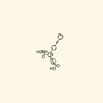 O=C(NO)c1cc(-c2ccc(C#Cc3cccnc3)cc2)nc(N2CCN(C(=O)O)CC2)c1